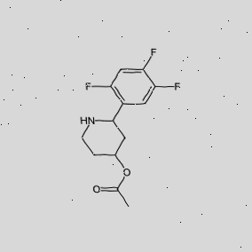 CC(=O)OC1CCNC(c2cc(F)c(F)cc2F)C1